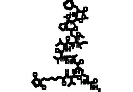 CC[C@H](C)[C@@H]([C@@H](CC(=O)N1CCC[C@H]1[C@H](OC)[C@@H](C)C(=O)N[C@@H](Cc1ccccc1)C(=O)OC)OC)N(C)C(=O)[C@@H](NC(=O)[C@H](C(C)C)N(C)C[C@@H](C)NC(=O)C(CCCNC(N)=O)NC(=O)[C@@H](NC(=O)CCCCCN1C(=O)C=CC1=O)C(C)C)C(C)C